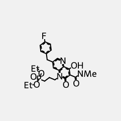 CCOP(=O)(CCCn1c(=O)c(C(=O)NC)c(O)c2ncc(Cc3ccc(F)cc3)cc21)OCC